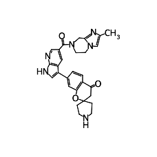 Cc1cn2c(n1)CN(C(=O)c1cnc3[nH]cc(-c4ccc5c(c4)OC4(CCNCC4)CC5=O)c3c1)CC2